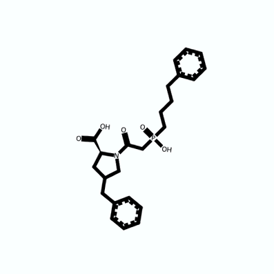 O=C(O)[C@@H]1CC(Cc2ccccc2)CN1C(=O)CP(=O)(O)CCCCc1ccccc1